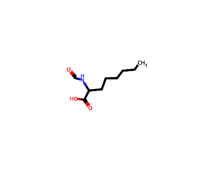 CCCCCCC(NC=O)C(=O)O